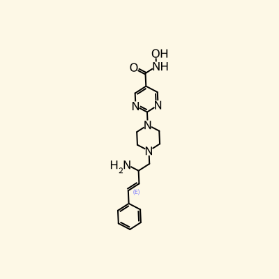 NC(/C=C/c1ccccc1)CN1CCN(c2ncc(C(=O)NO)cn2)CC1